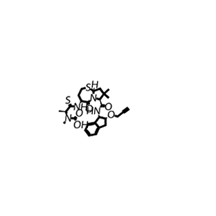 C#CCO[C@@H]1Cc2ccccc2[C@@H]1NC(=O)[C@H]1N2C(=O)[C@@H](NC(=S)[C@H](C)N(C)C(=O)O)CCS[C@H]2CC1(C)C